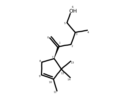 C=C(CC(C)CO)[C@@H]1CC=C(C)C1(C)C